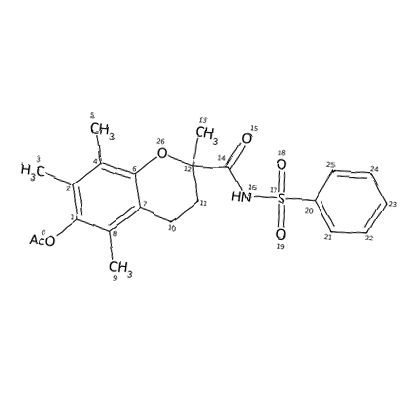 CC(=O)Oc1c(C)c(C)c2c(c1C)CCC(C)(C(=O)NS(=O)(=O)c1ccccc1)O2